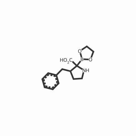 O=C(O)C1(B2OCCO2)NCCC1Cc1ccccc1